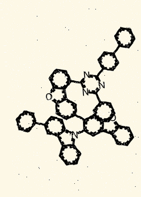 c1ccc(-c2ccc(-c3nc(-c4ccccc4)nc(-c4cccc5oc6ccc(-c7cc8oc9ccccc9c8cc7-n7c8ccccc8c8cc(-c9ccccc9)ccc87)cc6c45)n3)cc2)cc1